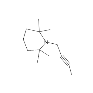 CC#CCN1C(C)(C)CCCC1(C)C